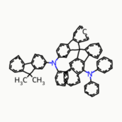 CC1(C)c2ccccc2-c2ccc(N(c3ccccc3)c3ccc4c(c3)C3(c5ccccc5-4)c4ccccc4-c4c3cc3ccccc3c4N(c3ccccc3)c3ccccc3)cc21